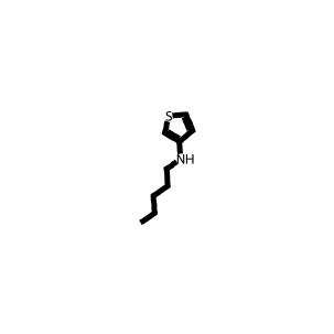 CCCCCNc1ccsc1